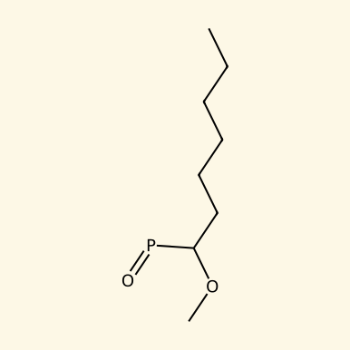 CCCCCCC(OC)P=O